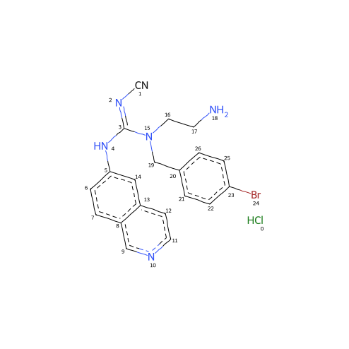 Cl.N#C/N=C(/Nc1ccc2cnccc2c1)N(CCN)Cc1ccc(Br)cc1